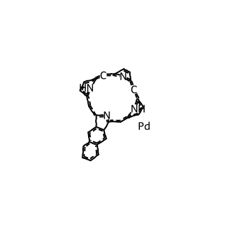 C1=Cc2cc3ccc(cc4nc(cc5ccc(cc1n2)[nH]5)-c1cc2ccccc2cc1-4)[nH]3.[Pd]